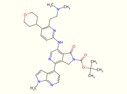 CN(C)CCc1nc(Nc2cnc(-c3ccnc4c3ccn4C)c3c2C(=O)N(C(=O)OC(C)(C)C)C3)ccc1C1CCOCC1